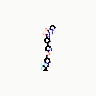 O=C(NC(=O)[C@@H]1CCCN1)c1ccc(-c2ccc(OCC3CCN(CC4(C(F)(F)F)CC4)CC3)nc2)cc1